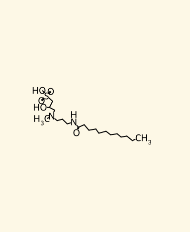 CCCCCCCCCCCC(=O)NCCCN(C)CC(O)CS(=O)(=O)O